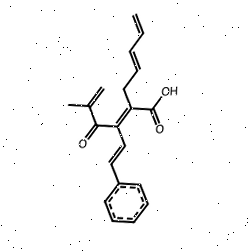 C=CC=CCC(C(=O)O)=C(C=Cc1ccccc1)C(=O)C(=C)C